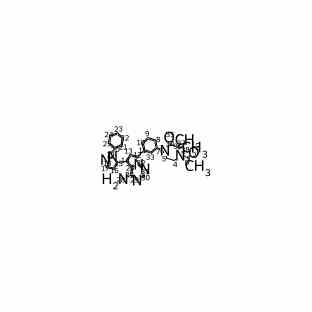 CC(=O)N1CCN(c2cccc(-c3cc(-c4ccnn4-c4ccccc4)c4c(N)ncnn34)c2)C(=O)C1(C)C